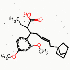 CCC(C(=O)O)C(CC=CCC12CCC(CC1)C2)c1ccc(OC)cc1OC